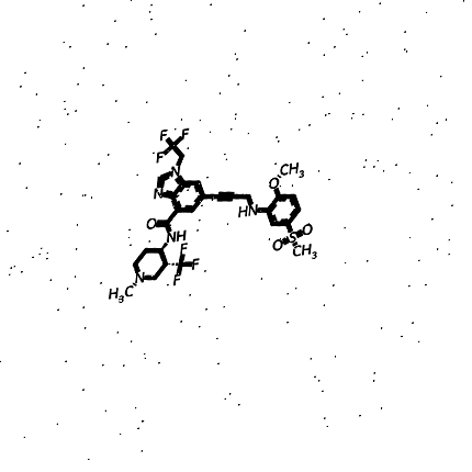 COc1ccc(S(C)(=O)=O)cc1NCC#Cc1cc(C(=O)N[C@@H]2CCN(C)C[C@H]2C(F)(F)F)c2ncn(CC(F)(F)F)c2c1